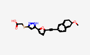 COC1C=c2ccc(C#Cc3ccc(-c4cc(SCC(=O)O)n[nH]4)o3)cc2=CC1